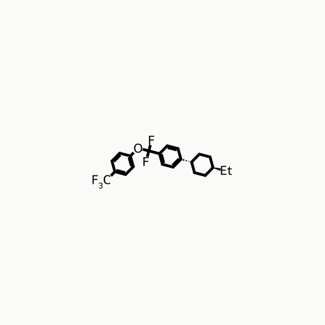 CC[C@H]1CC[C@H](c2ccc(C(F)(F)Oc3ccc(C(F)(F)F)cc3)cc2)CC1